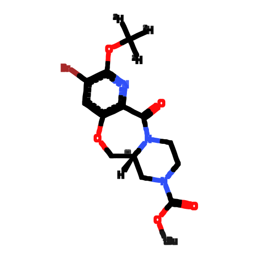 [2H]C([2H])([2H])Oc1nc2c(cc1Br)OC[C@H]1CN(C(=O)OC(C)(C)C)CCN1C2=O